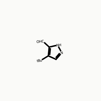 CC(C)(C)c1cn[nH]c1C=O